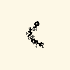 Cc1ncc(C(=O)NCCN2CC3CCC2CC3)cc1NC(=O)c1cnc2[nH]c(-c3cnn(C)c3)cc2c1